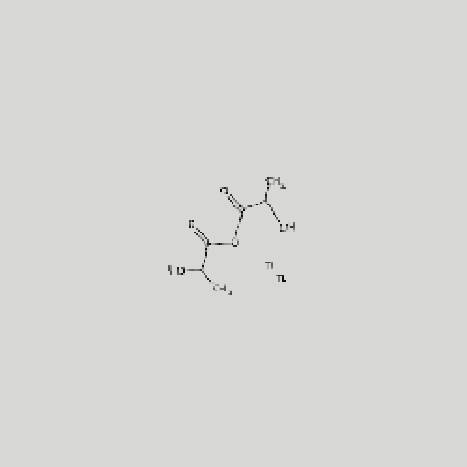 CC(O)C(=O)OC(=O)C(C)O.[Ti].[Ti]